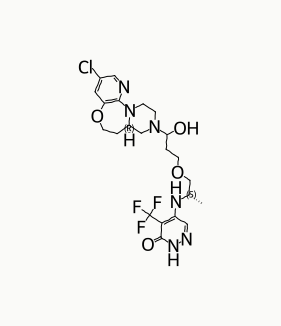 C[C@@H](COCCC(O)N1CCN2c3ncc(Cl)cc3OCC[C@@H]2C1)Nc1cn[nH]c(=O)c1C(F)(F)F